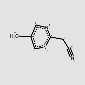 Cc1cnc(CC#N)nc1